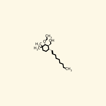 CCCCCCCC=C[C@@H]1CCC(C)(C)[C@H](OCC)[C@H]1CO